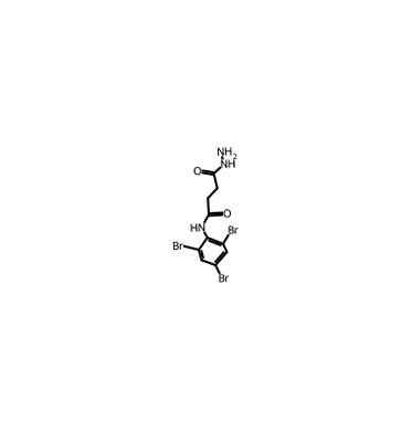 NNC(=O)CCC(=O)Nc1c(Br)cc(Br)cc1Br